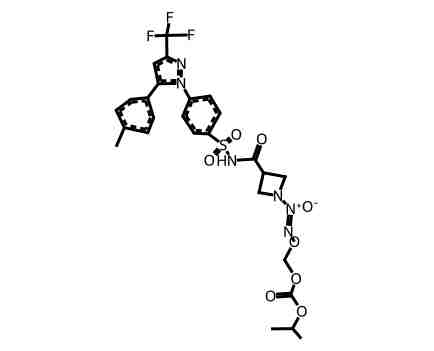 Cc1ccc(-c2cc(C(F)(F)F)nn2-c2ccc(S(=O)(=O)NC(=O)C3CN([N+]([O-])=NOCOC(=O)OC(C)C)C3)cc2)cc1